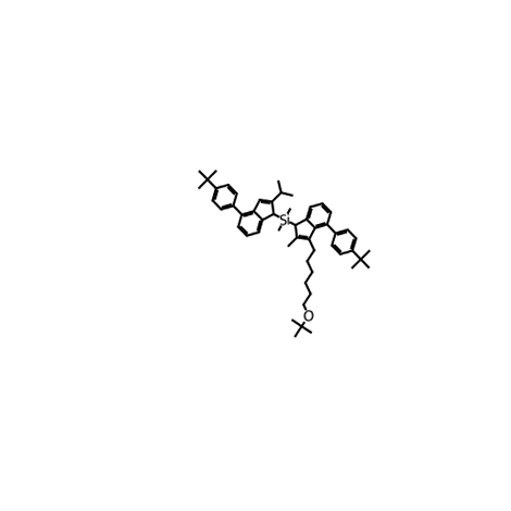 CC1=C(CCCCCCOC(C)(C)C)c2c(-c3ccc(C(C)(C)C)cc3)cccc2C1[Si](C)(C)C1C(C(C)C)=Cc2c(-c3ccc(C(C)(C)C)cc3)cccc21